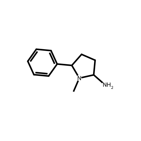 CN1C(N)CCC1c1ccccc1